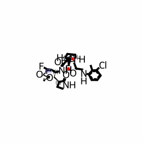 Cc1c(Cl)cccc1NCC(=O)N1[C@@H]2CC[C@H]([C@H]1C(=O)N[C@@H](/C=C(/F)S(C)(=O)=O)C[C@@H]1CCNC1=O)C(F)(F)C2